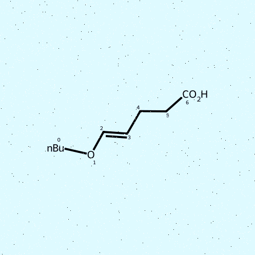 CCCCO/C=C/CCC(=O)O